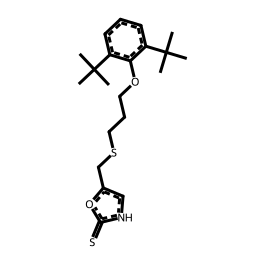 CC(C)(C)c1cccc(C(C)(C)C)c1OCCCSCc1c[nH]c(=S)o1